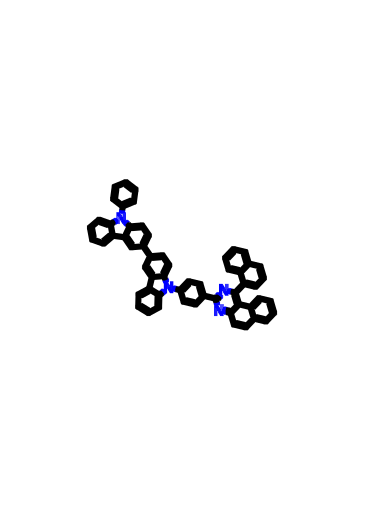 c1ccc(-n2c3ccccc3c3cc(-c4ccc5c(c4)c4ccccc4n5-c4ccc(-c5nc(-c6cccc7ccccc67)c6c(ccc7ccccc76)n5)cc4)ccc32)cc1